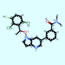 CC(On1ccc2ncc(-c3cccc(C(=O)N(C)C)c3)cc21)c1c(Cl)ccc(F)c1Cl